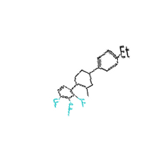 CCc1ccc(C2CCC(c3ccc(F)c(F)c3F)=C(C)C2)cc1